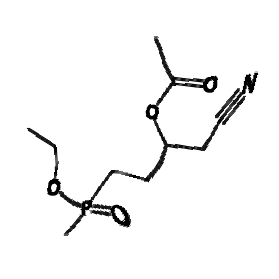 CCOP(C)(=O)CCC(CC#N)OC(C)=O